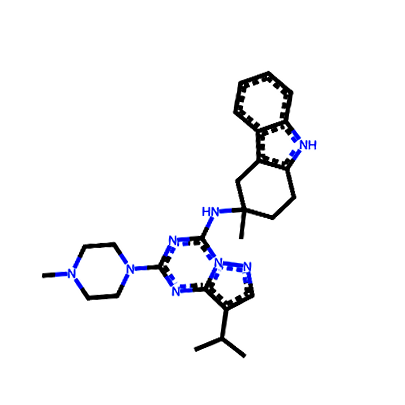 CC(C)c1cnn2c(NC3(C)CCc4[nH]c5ccccc5c4C3)nc(N3CCN(C)CC3)nc12